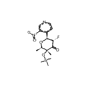 C[C@H]1O[C@@H](c2ccncc2[N+](=O)[O-])[C@H](F)C(=O)[C@]1(C)O[Si](C)(C)C